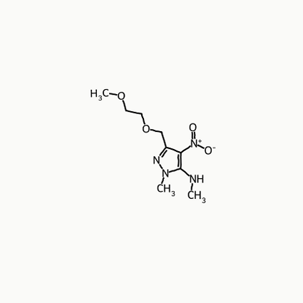 CNc1c([N+](=O)[O-])c(COCCOC)nn1C